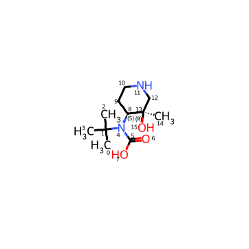 CC(C)(C)N(C(=O)O)[C@H]1CCNC[C@@]1(C)O